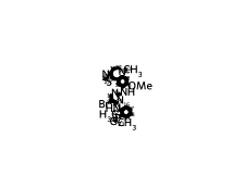 COc1cc2c(cc1Nc1ncc(Br)c(Nc3ccccc3P(C)(C)=O)n1)-c1scnc1CCN2C